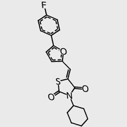 O=C1S/C(=C\c2ccc(-c3ccc(F)cc3)o2)C(=O)N1C1CCCCC1